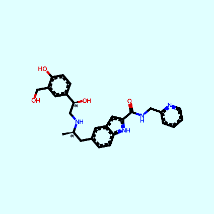 C[C@H](Cc1ccc2[nH]c(C(=O)NCc3ccccn3)cc2c1)NC[C@H](O)c1ccc(O)c(CO)c1